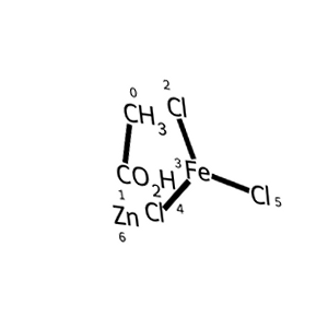 CC(=O)O.[Cl][Fe]([Cl])[Cl].[Zn]